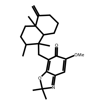 C=C1CCCC2C1(C)CCC(C)C2(C)CC1=C2OC(C)(C)N=C2C=C(OC)C1=O